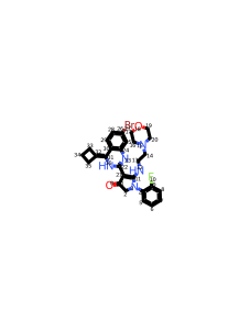 O=C1CN(c2ccccc2F)C(NCCN2CCOCC2)=C1C1=Nc2cc(Br)ccc2C(=C2CCC2)N1